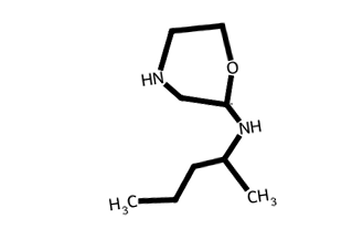 CCCC(C)N[C]1CNCCO1